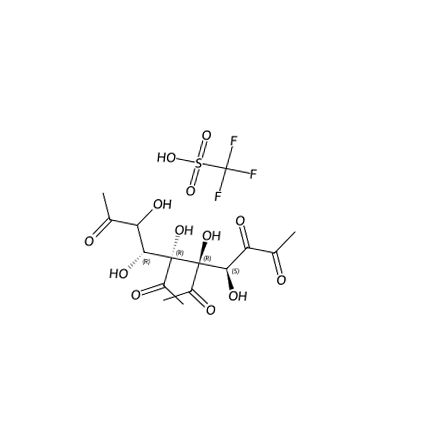 CC(=O)C(=O)[C@@H](O)[C@](O)(C(C)=O)[C@@](O)(C(C)=O)[C@H](O)C(O)C(C)=O.O=S(=O)(O)C(F)(F)F